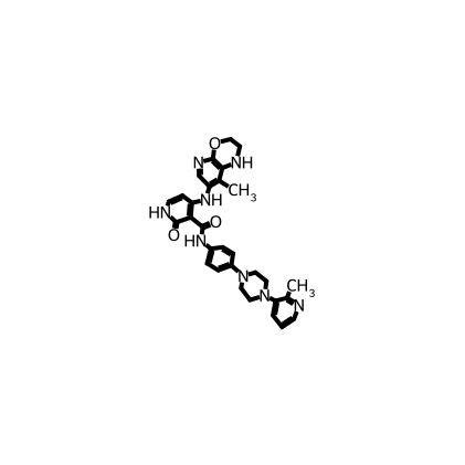 Cc1ncccc1N1CCN(c2ccc(NC(=O)c3c(Nc4cnc5c(c4C)NCCO5)cc[nH]c3=O)cc2)CC1